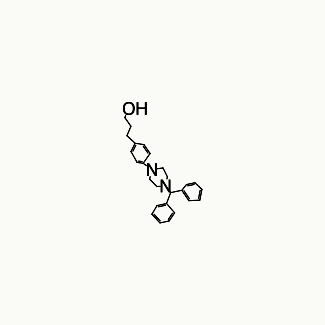 OCCCc1ccc(N2CCN(C(c3ccccc3)c3ccccc3)CC2)cc1